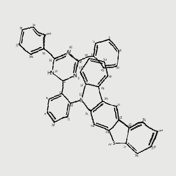 c1ccc(C2=NC(c3ccccc3-n3c4ccccc4c4cc5c(cc43)sc3ccccc35)NC(c3ccccc3)=N2)cc1